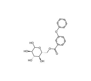 O=C(OC[C@H]1OC(O)[C@H](O)[C@@H](O)[C@@H]1O)c1cccc(Oc2ccccc2)c1